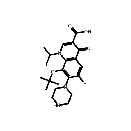 CC(I)n1cc(C(=O)O)c(=O)c2cc(F)c(N3CCNCC3)c(OC(C)(C)C)c21